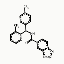 O=C(NC(c1ccc(C(F)(F)F)cc1)c1ncccc1C(F)(F)F)c1ccn2nnnc2c1